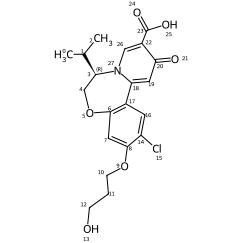 CC(C)[C@@H]1COc2cc(OCCCO)c(Cl)cc2-c2cc(=O)c(C(=O)O)cn21